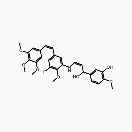 COc1ccc(C(O)/C=C\Nc2cc(/C=C\c3cc(OC)c(OC)c(OC)c3)cc(F)c2OC)cc1O